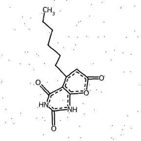 CCCCCCc1cc(=O)oc2[nH]c(=O)[nH]c(=O)c12